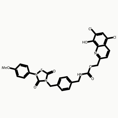 COc1ccc(-n2sc(=O)n(Cc3ccc(CNC(=O)OCc4ccc5c(Cl)cc(Cl)c(O)c5n4)cc3)c2=O)cc1